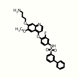 COc1cc2c(Oc3ccc(NS(=O)(=O)c4cccc(-c5ccccc5)c4)cc3F)ccnc2cc1OCCCN